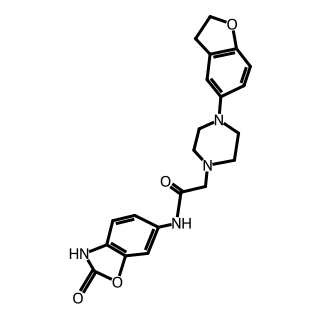 O=C(CN1CCN(c2ccc3c(c2)CCO3)CC1)Nc1ccc2[nH]c(=O)oc2c1